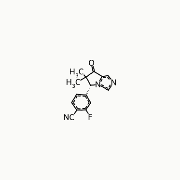 CC1(C)C(=O)c2cncn2[C@@H]1c1ccc(C#N)c(F)c1